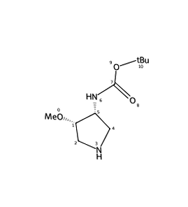 CO[C@H]1CNC[C@H]1NC(=O)OC(C)(C)C